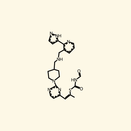 C/C(=C/c1ccnc(N2CCC(CNCc3cccnc3-c3ccn[nH]3)CC2)n1)SC(=O)NC=O